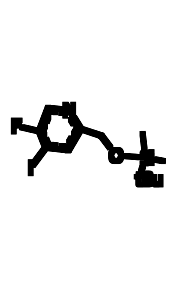 CC(C)(C)[Si](C)(C)OCc1cc(I)c(F)cn1